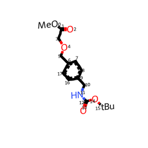 COC(=O)COCc1ccc(CNC(=O)OC(C)(C)C)cc1